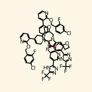 Fc1cc(Cl)ccc1COc1ncccc1C1=CCN(Cc2nc3cc(-c4nnc(C(F)(F)F)[nH]4)ccc3n2CC2OCC2C2CC(c3cccnc3OCc3ccc(Cl)cc3F)=CCN2Cc2nc3cc(-c4nnc(C(F)(F)F)[nH]4)cnc3n2CC2CCO2)CC1